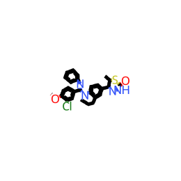 COc1ccc(C(=Nc2ccccc2)N2CCCc3cc(C4=NNC(=O)SC4C)ccc32)cc1Cl